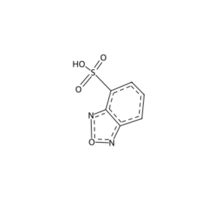 O=S(=O)(O)c1cccc2nonc12